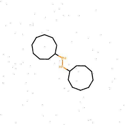 C1CCCCC(PPC2CCCCCCCC2)CCC1